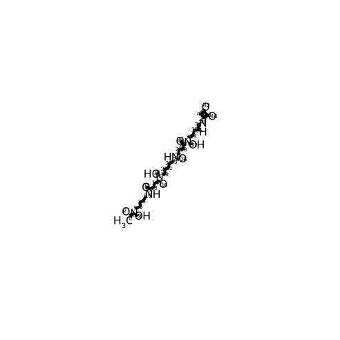 CC(=O)N(O)CCCCCNC(=O)CCC(=O)N(O)CCCCCNC(=O)CCC(=O)N(O)CCCCCNc1cc(=O)c1=O